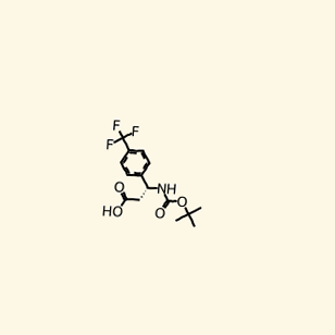 CC(C)(C)OC(=O)N[C@H](CC(=O)O)c1ccc(C(F)(F)F)cc1